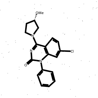 CO[C@H]1CCN(c2nc(=O)n(-c3ccccc3)c3cc(Cl)ccc23)C1